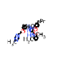 CCCc1ccc(Oc2nc(Nc3cccc(OCCCN4CCN(C)CC4)c3)ncc2C(=O)Nc2c(C)cccc2C)c(OC)c1